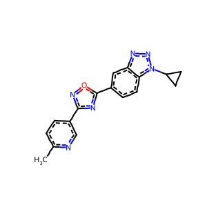 Cc1ccc(-c2noc(-c3ccc4c(c3)nnn4C3CC3)n2)cn1